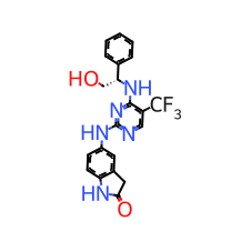 O=C1Cc2cc(Nc3ncc(C(F)(F)F)c(N[C@H](CO)c4ccccc4)n3)ccc2N1